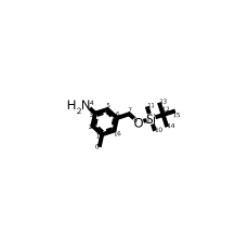 Cc1cc(N)cc(CO[Si](C)(C)C(C)(C)C)c1